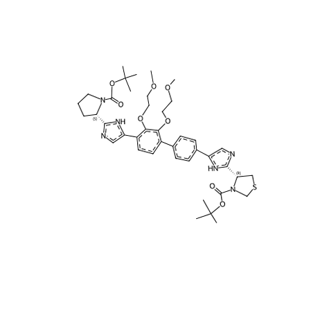 COCCOc1c(-c2ccc(-c3cnc([C@@H]4CSCN4C(=O)OC(C)(C)C)[nH]3)cc2)ccc(-c2cnc([C@@H]3CCCN3C(=O)OC(C)(C)C)[nH]2)c1OCCOC